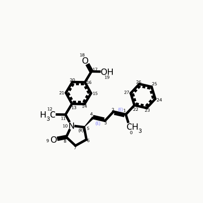 C/C(=C\C=C\[C@H]1CCC(=O)N1C(C)c1ccc(C(=O)O)cc1)c1ccccc1